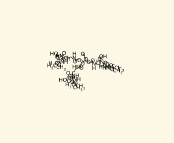 CC(C)(C)OC(=O)NC(=O)NC(CCCCNC(=O)COCC(OCC=O)C(COCC(=O)NCCCCC(NC(=O)NC(=O)OC(C)(C)C)C(=O)NCC(=O)O)OCC(=O)NCCCCC(NC(=O)NC(=O)OC(C)(C)C)C(=O)NCC(=O)O)C(=O)NCC(=O)O